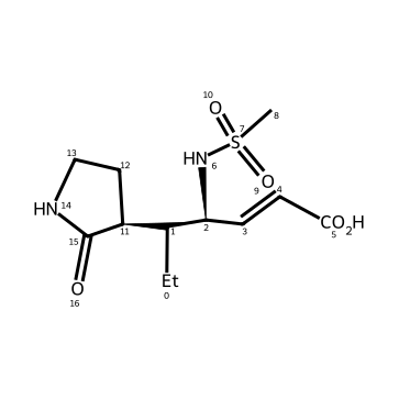 CCC([C@H](/C=C/C(=O)O)NS(C)(=O)=O)[C@@H]1CCNC1=O